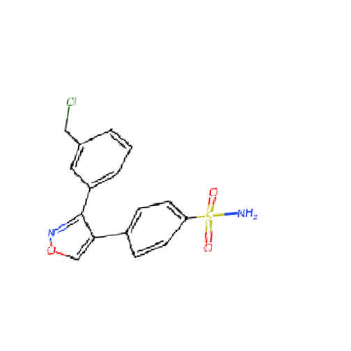 NS(=O)(=O)c1ccc(-c2conc2-c2cccc(CCl)c2)cc1